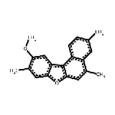 COc1cc2c(cc1C)oc1cc(C)c3cc(C)ccc3c12